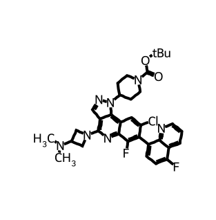 CN(C)C1CN(c2nc3c(F)c(-c4ccc(F)c5cccnc45)c(Cl)cc3c3c2cnn3C2CCN(C(=O)OC(C)(C)C)CC2)C1